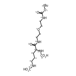 CC(C)(C)OC(=O)NCCOCCNC(=O)C(CCCNC(=O)O)NC(=O)O